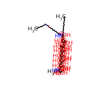 CCCCCCCC/C=C\CCCCCCCCCCCCCC(=O)N[C@@H](CO[C@@H]1OC(CO)[C@@H](O[C@@H]2OC(CO)[C@H](O[C@@H]3OC(CO)[C@H](O)[C@H](O[C@H]4OC(CO)[C@H](O)[C@H](O[C@H]5OC(CO)[C@H](O)[C@H](O[C@H]6OC(CO)[C@H](O)[C@H](O[C@@H]7OC(CO)[C@H](O)[C@H](O)C7NC(C)=O)C6O)C5O)C4O)C3O)[C@H](O)C2O)[C@H](O)C1O)[C@H](O)/C=C/CCCCCCCCCCCCC